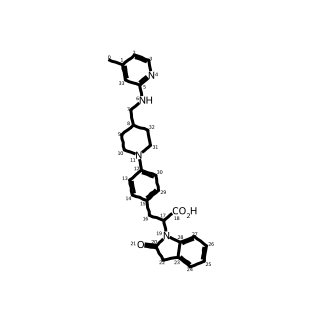 Cc1ccnc(NCC2CCN(c3ccc(CC(C(=O)O)N4C(=O)Cc5ccccc54)cc3)CC2)c1